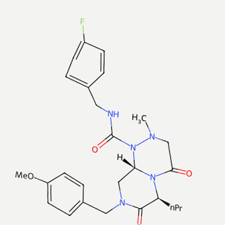 CCC[C@H]1C(=O)N(Cc2ccc(OC)cc2)C[C@H]2N1C(=O)CN(C)N2C(=O)NCc1ccc(F)cc1